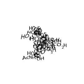 CC(=O)N[C@@H]1[C@@H](O)[C@H](O[C@@H]2O[C@H](C(=O)O)[C@@H](O[C@@H]3O[C@H](CO)[C@@H](O[C@H]4O[C@@H](C(=O)O)[C@H](O)[C@@H](O)[C@@H]4OS(=O)(=O)O)[C@H](OS(=O)(=O)O)[C@H]3NS(=O)(=O)O)[C@H](O)[C@H]2OS(=O)(=O)O)[C@H](COS(=O)(=O)O)O[C@H]1O.CC(O)[C@H](C)[C@H](N)C(=O)O